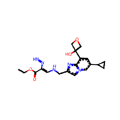 CCOC(=O)/C(=C/NCc1cn2cc(C3CC3)cc(C3(O)COC3)c2n1)N=N